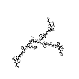 CCCCC(CC)C(=O)OCCCCOC(=O)CCN(CCC=O)CCCN(C)CCCN(CCC(=O)OCCCCOC(=O)C(CC)CCCC)CCC(=O)OCCCCOC(=O)C(CC)CCCC